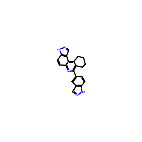 c1cc2[nH]ncc2cc1-c1nc2ccc3[nH]ncc3c2c2c1CCCC2